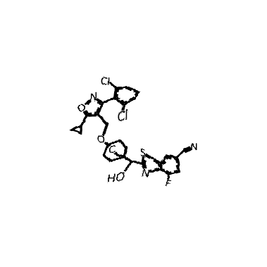 N#Cc1cc(F)c2nc(C(O)C34CCC(OCc5c(-c6c(Cl)cccc6Cl)noc5C5CC5)(CC3)CC4)sc2c1